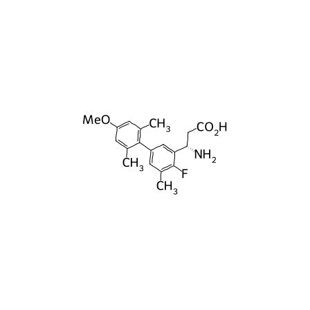 COc1cc(C)c(-c2cc(C)c(F)c([C@@H](N)CC(=O)O)c2)c(C)c1